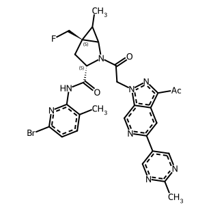 CC(=O)c1nn(CC(=O)N2C3C(C)[C@@]3(CF)C[C@H]2C(=O)Nc2nc(Br)ccc2C)c2cnc(-c3cnc(C)nc3)cc12